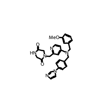 COc1cccc(CN(Cc2ccc(-n3ccnc3)cc2)c2ccnc(CN3CC(=O)NCC3=O)c2)c1